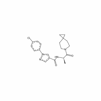 C[C@@H](NC(=O)c1cnn(-c2ccc(Cl)cc2)c1)C(=O)N1CCC2(CC1)CC2